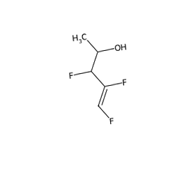 CC(O)C(F)C(F)=CF